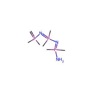 C=P(C)(C)N=P(C)(C)N=P(C)(C)N